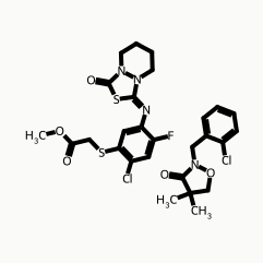 CC1(C)CON(Cc2ccccc2Cl)C1=O.COC(=O)CSc1cc(/N=c2\sc(=O)n3n2CCCC3)c(F)cc1Cl